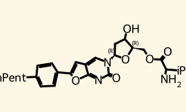 CCCCCc1ccc(-c2cc3cn([C@H]4CC(O)[C@@H](COC(=O)C(N)C(C)C)O4)c(=O)nc3o2)cc1